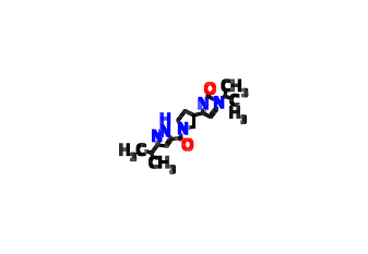 CC(C)c1cc(C(=O)N2CCC(c3ccn(C(C)C)c(=O)n3)C2)[nH]n1